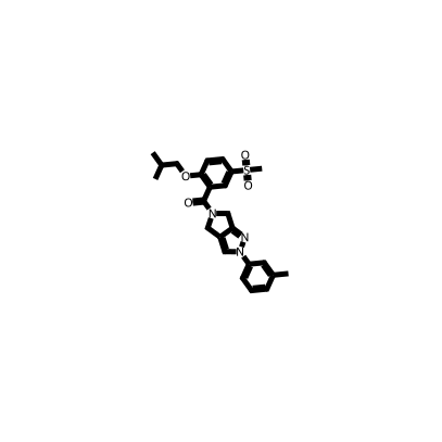 Cc1cccc(-n2cc3c(n2)CN(C(=O)c2cc(S(C)(=O)=O)ccc2OCC(C)C)C3)c1